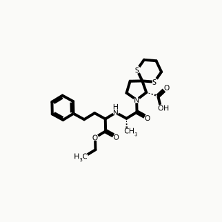 CCOC(=O)C(CCc1ccccc1)N[C@@H](C)C(=O)N1CCC2(SCCCS2)[C@@H]1C(=O)O